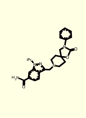 CC(C)n1nc(CN2CCC3(CC2)CN(c2ccccc2)C(=O)O3)c2ccc(C(N)=O)cc21